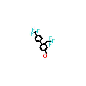 O=Cc1ccc(-c2ccc(C(F)(F)F)cc2)c(CC(F)(F)F)c1